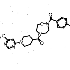 Cc1cc(N2CCC(C(=O)N3CCCN(C(=O)c4ccc(F)cc4)CC3)CC2)ncn1